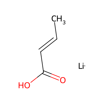 C/C=C/C(=O)O.[Li]